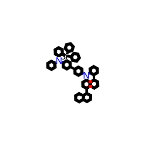 c1ccc(-c2ccccc2N(c2ccc(-c3ccc4c(c3)[Si](c3ccccc3)(c3ccccc3)c3ccccc3N4c3ccccc3)cc2)c2ccc(-c3cccc4ccccc34)cc2)cc1